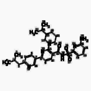 CC(C)Cc1ccc(-c2ccc(C(=O)NS(=O)(=O)c3cccc(N)n3)c(N3CCCC(C(C)C)C3)n2)cn1